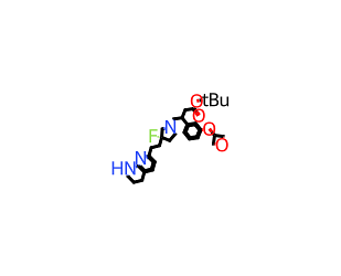 CC(C)(C)OC(=O)CC(CN1CC[C@@](F)(CCc2ccc3c(n2)NCCC3)C1)c1cccc(OC2COC2)c1